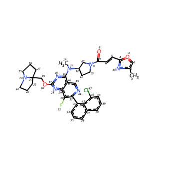 Cc1coc(/C=C/C(=O)N2CC[C@@H](N(C)c3nc(OCC45CCCN4CCC5)nc4c(F)c(-c5cccc6cccc(Cl)c56)ncc34)C2)n1